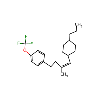 CCCC1CCC(C=C(C)CCc2ccc(OC(F)(F)F)cc2)CC1